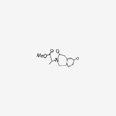 COC(=O)C(C)N1Cc2ccc(Cl)cc2CC1=O